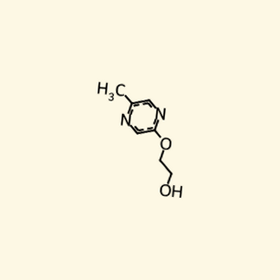 Cc1cnc(OCCO)cn1